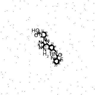 Nc1ncnc2c1c(-c1ccc(CNC(=O)c3c(F)cccc3F)cc1)nn2[C@@H]1CCCN(C(=O)O)C1